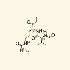 CCC(=O)[C@H](CCCNC(N)=O)NC(=O)[C@@H](NC=O)C(C)C